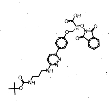 CC(C)(C)OC(=O)NCCCNc1ccc(-c2ccc(OC[C@@H](ON3C(=O)c4ccccc4C3=O)C(=O)O)cc2)nn1